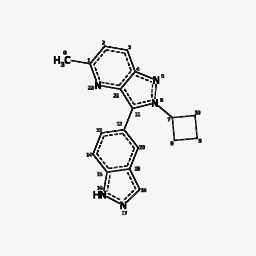 Cc1ccc2nn(C3CCC3)c(-c3ccc4[nH]ncc4c3)c2n1